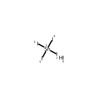 I.[I][Sn]([I])([I])[I]